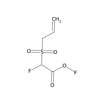 C=CCS(=O)(=O)C(F)C(=O)OF